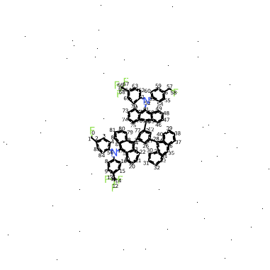 FCc1ccc(N(c2ccc(C(F)(F)F)cc2)c2c3ccccc3c(-c3cc(-c4c5ccccc5cc5ccccc45)cc(-c4c5ccccc5c(N(c5ccc(CF)cc5)c5ccc(C(F)(F)F)cc5)c5ccccc45)c3)c3ccccc23)cc1